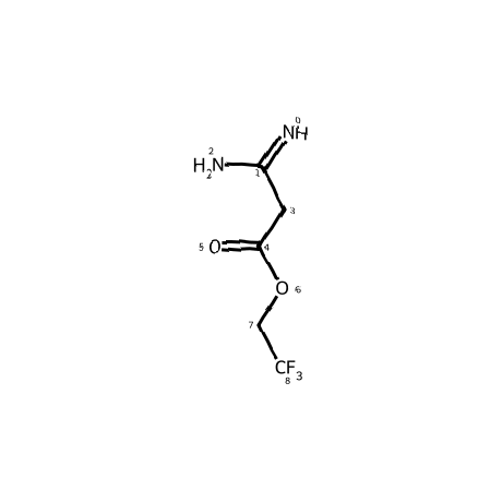 N=C(N)CC(=O)OCC(F)(F)F